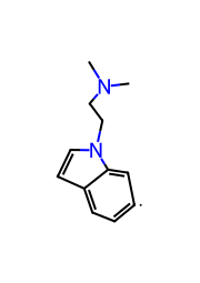 CN(C)CCn1ccc2cc[c]cc21